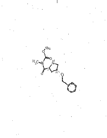 CN(C(=O)OC(C)(C)C)C(=O)[C@@H]1C[C@@H](OCc2ccccc2)CN1